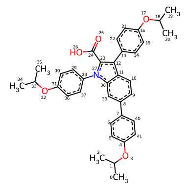 CC(C)Oc1ccc(-c2ccc3c(-c4ccc(OC(C)C)cc4)c(C(=O)O)n(-c4ccc(OC(C)C)cc4)c3c2)cc1